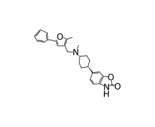 Cc1oc(-c2ccccc2)cc1CN(C)[C@H]1CC[C@H](c2ccc3[nH]c(=O)oc3c2)CC1